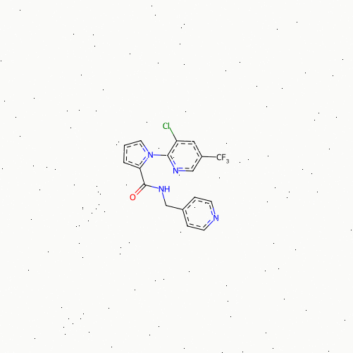 O=C(NCc1ccncc1)c1cccn1-c1ncc(C(F)(F)F)cc1Cl